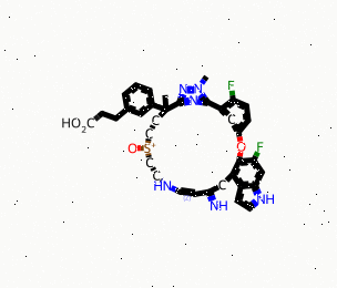 Cn1nc2nc1-c1cc(ccc1F)Oc1c(F)cc3[nH]ccc3c1CC(=N)/C=C\NCC[S+]([O-])CCC2(C)c1cccc(CCC(=O)O)c1